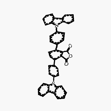 O=C1OC(=O)c2c(-c3ccc(-n4c5ccccc5c5ccccc54)cc3)ccc(-c3ccc(-n4c5ccccc5c5ccccc54)cc3)c21